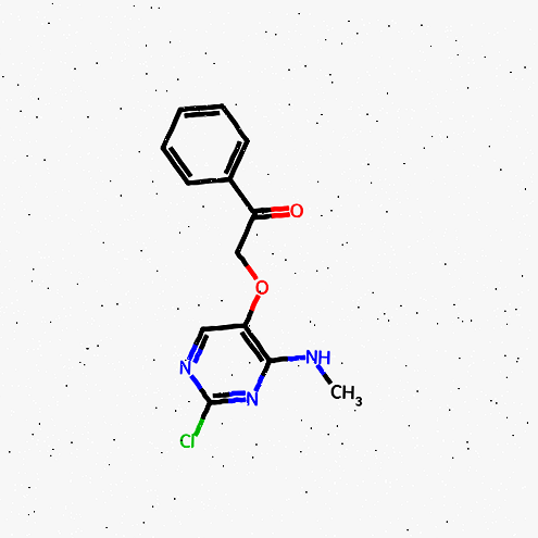 CNc1nc(Cl)ncc1OCC(=O)c1ccccc1